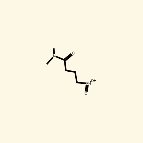 CN(C)C(=O)CCC[PH](=O)O